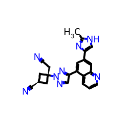 Cc1nc(-c2cc(-c3cnn([C@]4(CC#N)C[C@@H](C#N)C4)n3)c3cccnc3c2)c[nH]1